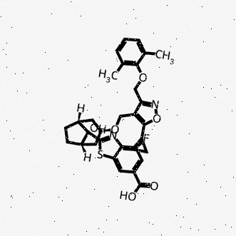 Cc1cccc(C)c1OCc1noc(C2CC2)c1CO[C@@H]1C[C@H]2CC[C@@H](C1)[C@]2(O)c1nc2c(F)cc(C(=O)O)cc2s1